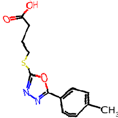 Cc1ccc(-c2nnc(SCCCC(=O)O)o2)cc1